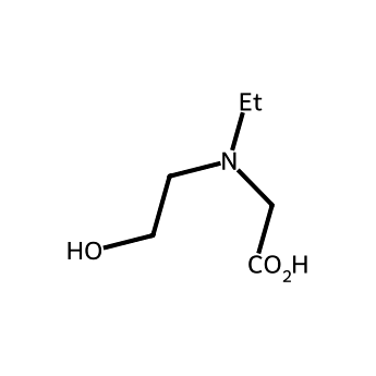 CCN(CCO)CC(=O)O